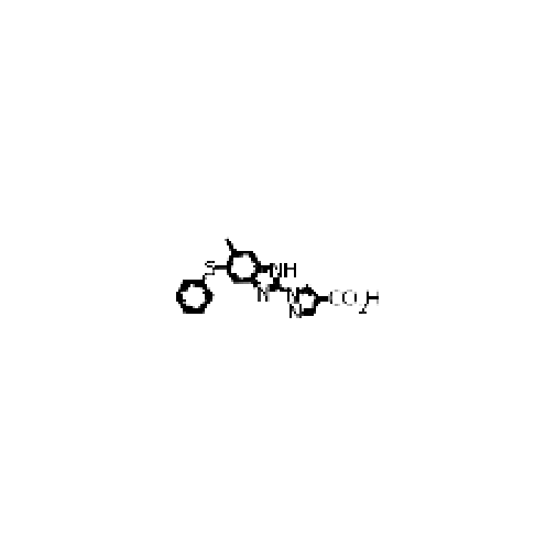 Cc1cc2[nH]c(-n3cc(C(=O)O)cn3)nc2cc1Sc1ccccc1